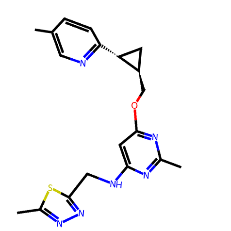 Cc1ccc([C@@H]2C[C@H]2COc2cc(NCc3nnc(C)s3)nc(C)n2)nc1